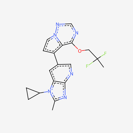 Cc1nc2ncc(-c3ccn4ncnc(OCC(C)(F)F)c34)cc2n1C1CC1